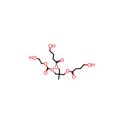 CC(COC(=O)CCCO)(COC(=O)CCCO)COC(=O)OCCO